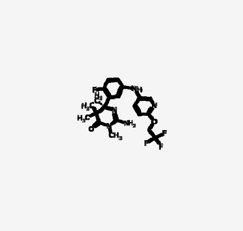 CN1C(=O)C(C)(C)[C@@](C)(c2cc(Nc3ccc(OCC(F)(F)F)nc3)ccc2F)N=C1N